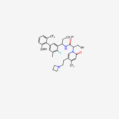 COc1cccc(C(F)(F)F)c1-c1cc(C)c(F)c(C(CC(=O)O)NC(=O)C(CC(C)C)n2cc(CCN3CCC3)c(C(F)(F)F)cc2=O)c1